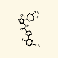 Cc1ccc(F)c(-c2nc(C(=O)Nc3cnn(C)c3[C@@H]3CC[C@@H](N)[C@H](F)CO3)cs2)c1